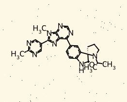 Cc1ncc(-c2nc3c(-c4ccc5c(c4)[C@]4(CCCN4C(C)C)C(=O)N5)ncnc3n2C)cn1